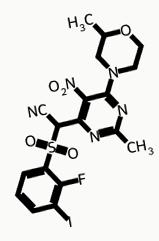 Cc1nc(C(C#N)S(=O)(=O)c2cccc(I)c2F)c([N+](=O)[O-])c(N2CCOC(C)C2)n1